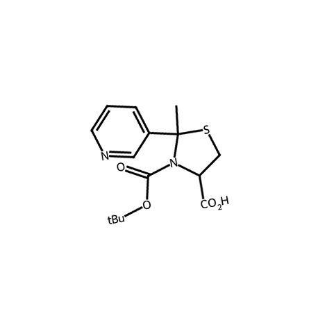 CC(C)(C)OC(=O)N1C(C(=O)O)CSC1(C)c1cccnc1